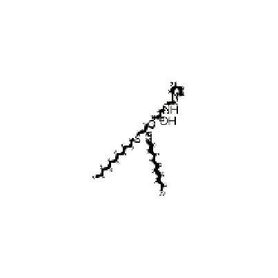 CCCCCCCCCCCSCC(COCC(O)CNCCN1CCCC1)SCCCCCCCCCCC